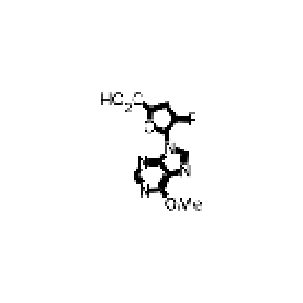 COc1ncnc2c1ncn2C1OC(C(=O)O)CC1F